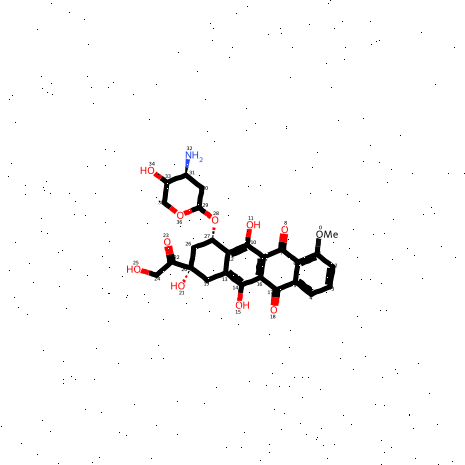 COc1cccc2c1C(=O)c1c(O)c3c(c(O)c1C2=O)C[C@@](O)(C(=O)CO)C[C@@H]3OC1C[C@H](N)C(O)CO1